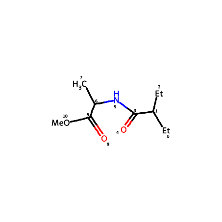 CCC(CC)C(=O)NC(C)C(=O)OC